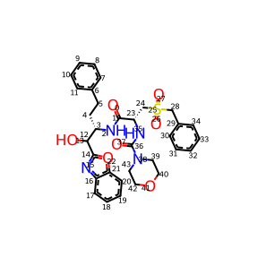 O=C(N[C@@H](CCc1ccccc1)C(O)c1nc2ccccc2o1)[C@H](CS(=O)(=O)Cc1ccccc1)NC(=O)N1CCOCC1